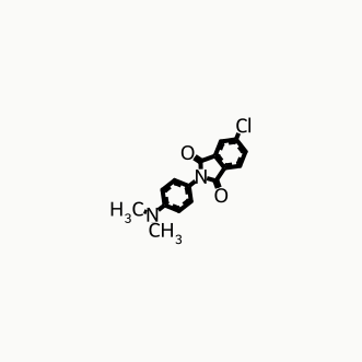 CN(C)c1ccc(N2C(=O)c3ccc(Cl)cc3C2=O)cc1